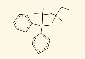 CC(C)(CI)O[Si](c1ccccc1)(c1ccccc1)C(C)(C)C